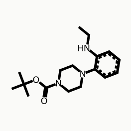 CCNc1ccccc1N1CCN(C(=O)OC(C)(C)C)CC1